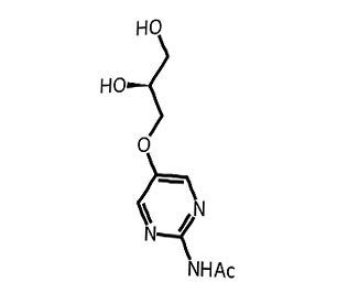 CC(=O)Nc1ncc(OC[C@@H](O)CO)cn1